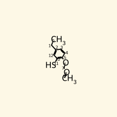 CCc1ccc(OCOC)c(S)c1